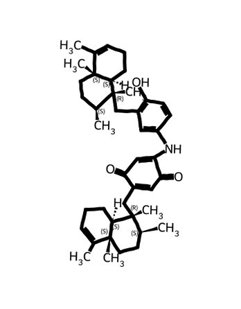 CC1=CCC[C@H]2[C@](C)(CC3=CC(=O)C(Nc4ccc(O)c(C[C@]5(C)[C@@H](C)CC[C@]6(C)C(C)=CCC[C@@H]56)c4)=CC3=O)[C@@H](C)CC[C@]12C